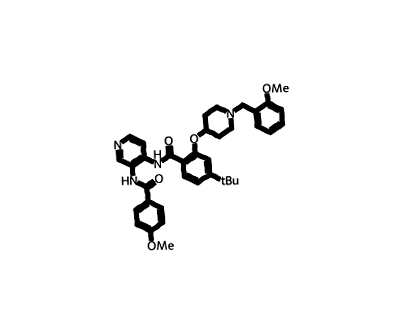 COc1ccc(C(=O)Nc2cnccc2NC(=O)c2ccc(C(C)(C)C)cc2OC2CCN(Cc3ccccc3OC)CC2)cc1